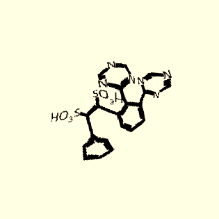 O=S(=O)(O)C(=C(c1cccc(-c2ncncn2)c1-c1ncncn1)S(=O)(=O)O)c1ccccc1